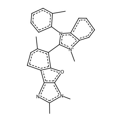 Cc1ccccc1-n1c(-c2c(C)ccc3c2oc2c3nc(C)n2C)[n+](C)c2ccccc21